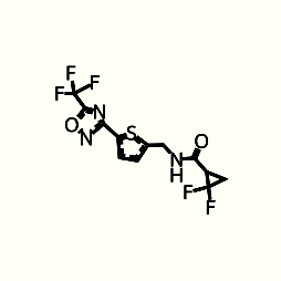 O=C(NCc1ccc(-c2noc(C(F)(F)F)n2)s1)C1CC1(F)F